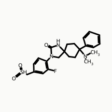 CN(C)C1(c2ccccc2)CCC2(CC1)CN(c1ccc(C[SH](=O)=O)cc1F)C(=O)N2